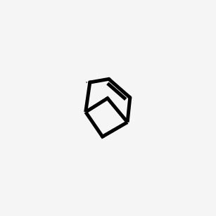 [CH]1C=CC2CC1C2